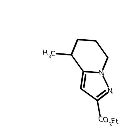 CCOC(=O)c1cc2n(n1)CCCC2C